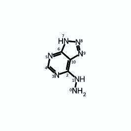 NNc1ncnc2[nH]nnc12